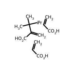 C=C(C(=O)O)C(C)(C)C(C)C.C=CC(=O)O.C=CC(=O)O